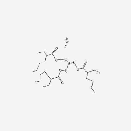 CCCCC(CC)C(=O)OOB(OOC(=O)C(CC)CCCC)OOC(=O)C(CC)CCCC.[Zr].[Zr].[Zr]